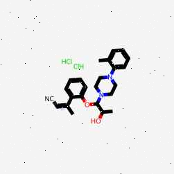 C/C(=C/C#N)c1ccccc1OC(C(C)O)N1CCN(c2ccccc2C)CC1.Cl.Cl